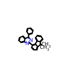 CC1(C)c2ccccc2-c2c(-c3nc(-c4ccccc4)c4ccccc4n3)cccc21